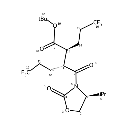 CC(C)[C@H]1COC(=O)N1C(=O)[C@H](CCC(F)(F)F)[C@H](CCC(F)(F)F)C(=O)OC(C)(C)C